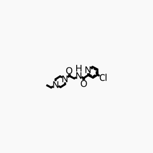 CCN1CCN(C(=O)CNC(=O)c2cc(Cl)ccn2)CC1